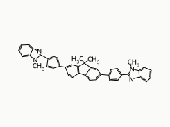 Cn1c(-c2ccc(-c3ccc4c(c3)C(C)(C)c3cc(-c5ccc(-c6nc7ccccc7n6C)cc5)ccc3-4)cc2)nc2ccccc21